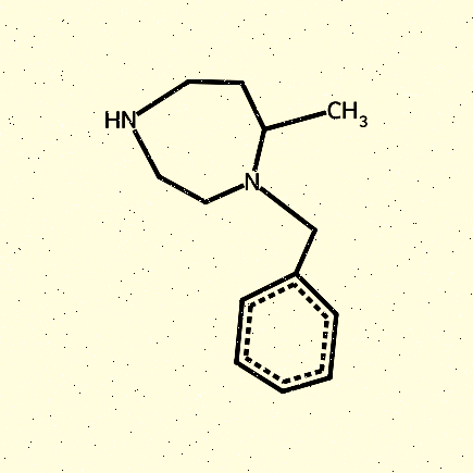 CC1CCNCCN1Cc1ccccc1